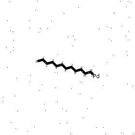 CCCCCCCCCCC[CH2][Pd]